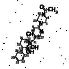 CC(=O)N1CCN(c2ccc(CN3[C@@H](C)CCC(c4ccccc4)S3(O)O)cn2)CC1